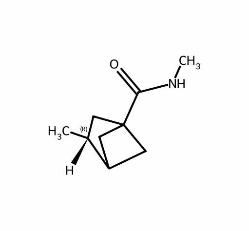 CNC(=O)C12CC(C1)[C@H](C)C2